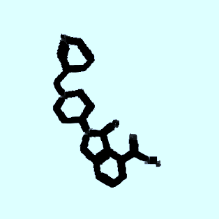 NC(=O)c1cccc2c1C(=O)N(C1CCN(Cc3cccnc3)CC1)C2